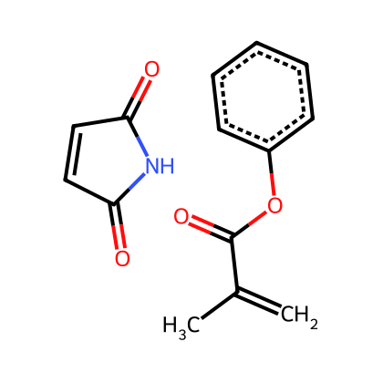 C=C(C)C(=O)Oc1ccccc1.O=C1C=CC(=O)N1